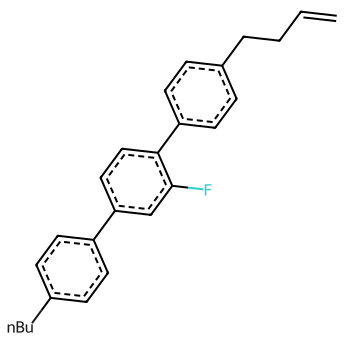 C=CCCc1ccc(-c2ccc(-c3ccc(CCCC)cc3)cc2F)cc1